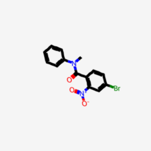 CN(C(=O)c1ccc(Br)cc1[N+](=O)[O-])c1ccccc1